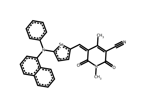 CC1=C(C#N)C(=O)N(C)C(=O)C1=Cc1ccc(N(c2ccccc2)c2cccc3ccccc23)[se]1